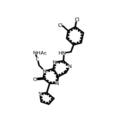 CC(=O)NCCn1c(=O)c(-c2cccs2)nc2cnc(NCc3ccc(Cl)c(Cl)c3)nc21